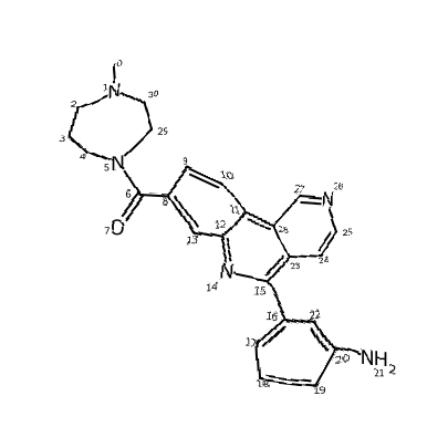 CN1CCCN(C(=O)c2ccc3c(c2)nc(-c2cccc(N)c2)c2ccncc23)CC1